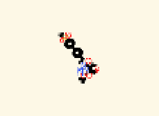 CCS(=O)(=O)c1ccc(-c2ccc(CCN(C#N)C(=O)C3(NC(=O)OC(C)(C)C)CCOCC3)cc2)cc1